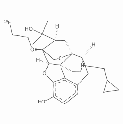 CC(C)(O)[C@H]1C[C@@]23CC[C@]1(OCC[18F])[C@@H]1Oc4c(O)ccc5c4[C@@]12CCN(CC1CC1)[C@@H]3C5